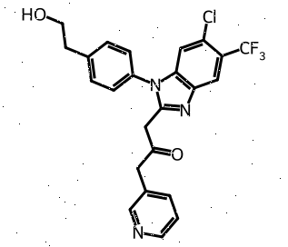 O=C(Cc1cccnc1)Cc1nc2cc(C(F)(F)F)c(Cl)cc2n1-c1ccc(CCO)cc1